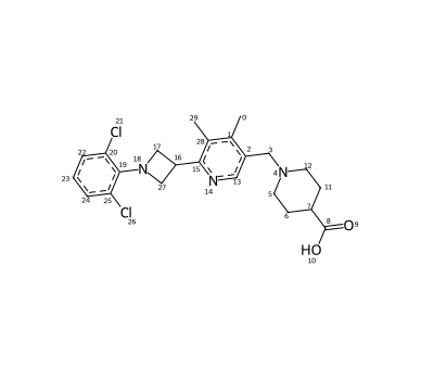 Cc1c(CN2CCC(C(=O)O)CC2)cnc(C2CN(c3c(Cl)cccc3Cl)C2)c1C